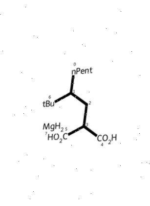 CCCCCC(CC(C(=O)O)C(=O)O)C(C)(C)C.[MgH2]